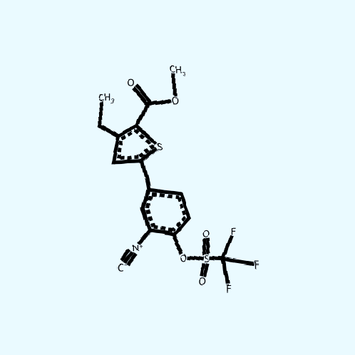 [C-]#[N+]c1cc(-c2cc(CC)c(C(=O)OC)s2)ccc1OS(=O)(=O)C(F)(F)F